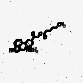 CCCCCC(=O)OCC(=O)C1CC2c3cccc4[nH]cc(c34)C[C@H]2N(C)C1